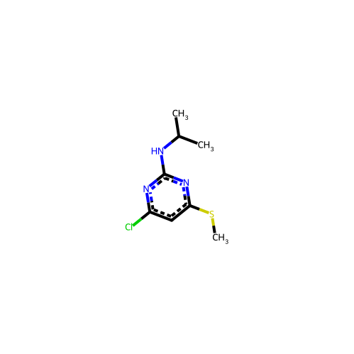 CSc1cc(Cl)nc(NC(C)C)n1